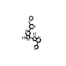 c1cc(-c2ccsc2)c2cc(-c3n[nH]c4cnc(-c5cncc(CN6CCCC6)c5)cc34)[nH]c2n1